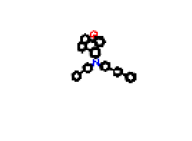 c1ccc(-c2ccc(-c3ccc(N(c4ccc(-c5ccccc5)cc4)c4cccc(-c5cccc6ccc7oc8ccccc8c7c56)c4)cc3)cc2)cc1